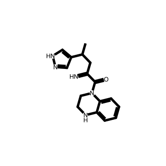 CC(CC(=N)C(=O)N1CCNc2ccccc21)c1cn[nH]c1